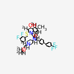 [2H]C1=C(SCc2cccc(F)c2F)N(CC(=O)N(C2CCN(C([2H])([2H])COC([2H])([2H])[2H])CC2)C([2H])([2H])c2ccc(-c3ccc(C(F)(F)F)cc3)cc2)c2c([2H])c([2H])c(C)c([2H])c2C1O